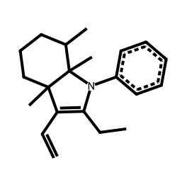 C=CC1=C(CC)N(c2ccccc2)C2(C)C(C)CCCC12C